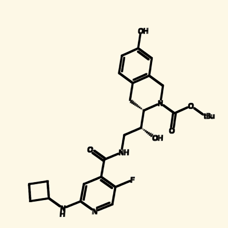 CC(C)(C)OC(=O)N1Cc2cc(O)ccc2C[C@H]1[C@H](O)CNC(=O)c1cc(NC2CCC2)ncc1F